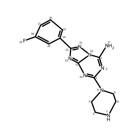 Nc1nc(N2CCNCC2)nc2nc(-c3cccc(F)c3)nn12